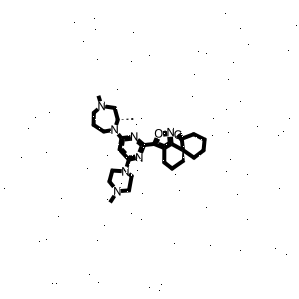 C[C@H]1CN(C)CCCN1c1cc(N2CCN(C)CC2)nc(-c2onc3c2CCC[C@@]32CCCCC2=O)n1